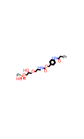 CC(C)CC(=O)Nc1ccc(COC(=O)NCCCOCC(O)COP(=O)(O)C(C)C)cc1